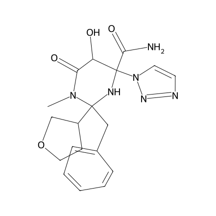 CN1C(=O)C(O)C(C(N)=O)(n2ccnn2)NC1(Cc1ccccc1)C1CCOC1